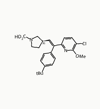 COc1nc(C(=C[C@H]2CCN(C(=O)O)C2)c2ccc(C(C)(C)C)cc2)ccc1Cl